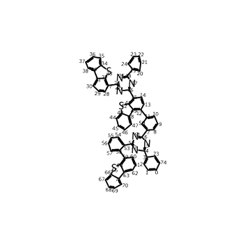 c1ccc(-c2nc(-c3cccc(-c4ccc(-c5nc(-c6ccccc6)nc(-c6cccc7c6sc6ccccc67)n5)c5sc6ccccc6c45)c3)nc(-c3ccccc3-c3cccc4c3sc3ccccc34)n2)cc1